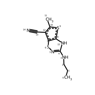 CCCNC1=NSc2c(sc(C)c2C#N)N1